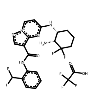 N[C@@H]1[C@H](Nc2ccn3ncc(C(=O)Nc4ccccc4C(F)F)c3n2)CCCC1(F)F.O=C(O)C(F)(F)F